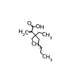 C=C(C(=O)O)C(CC)(CC)CCCCC